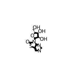 O=c1sc2cncnc2n1C1O[C@H](CO)[C@@H](O)[C@H]1O